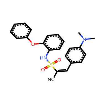 CN(C)c1ccc(/C=C(/C#N)S(=O)(=O)Nc2ccccc2Oc2ccccc2)cc1